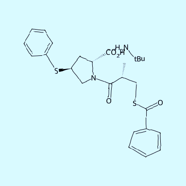 CC(C)(C)N.C[C@H](CSC(=O)c1ccccc1)C(=O)N1C[C@@H](Sc2ccccc2)C[C@@H]1C(=O)O